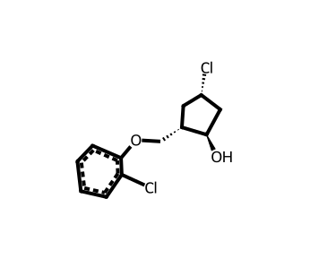 O[C@@H]1C[C@@H](Cl)C[C@H]1COc1ccccc1Cl